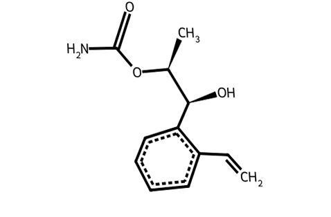 C=Cc1ccccc1[C@H](O)[C@H](C)OC(N)=O